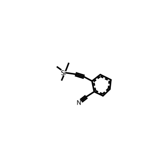 C[Si](C)(C)C#Cc1ccccc1C#N